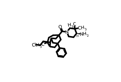 CC1CCC2(C(=O)N3CC[C@H](N)C(C)(C)C3)CC3CC(c4ccccc4)(CC1C3CCCl)C2